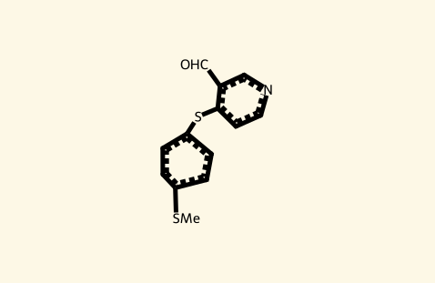 CSc1ccc(Sc2ccncc2C=O)cc1